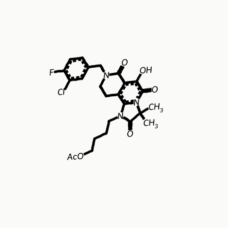 CC(=O)OCCCCN1C(=O)C(C)(C)n2c1c1c(c(O)c2=O)C(=O)N(Cc2ccc(F)c(Cl)c2)CC1